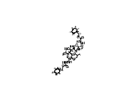 CC(C)C[C@H](NC(=O)C(C)NNC(=O)OCc1ccccc1)[C@@H](O)[C@H](O)[C@H](CC(C)C)NC(=O)C(C)NNC(=O)OCc1ccccc1